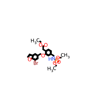 CCOC(=O)Cc1ccc(CNP(=O)(OCC)OCC)cc1OCc1cc(Br)c2occc2c1